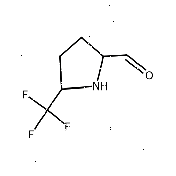 O=CC1CCC(C(F)(F)F)N1